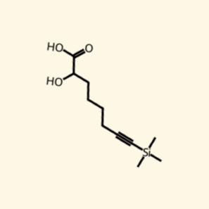 C[Si](C)(C)C#CCCCCC(O)C(=O)O